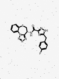 O=C(N[C@H]1CSc2ccccc2-n2nnnc21)c1n[nH]c(Cc2ccc(F)cc2)n1